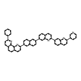 c1ccc(-c2ccc3ccc4ccc(-c5ccc6cc(-c7ccc8ccc(-c9ccc%10ccc(-c%11cccnc%11)nc%10c9)nc8c7)ccc6c5)nc4c3n2)cc1